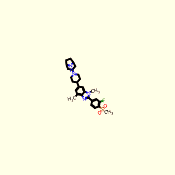 Cc1cc(C2CCN(C3CC4CCC(C3)N4)CC2)cc2c1nc(-c1ccc(S(C)(=O)=O)c(F)c1)n2C